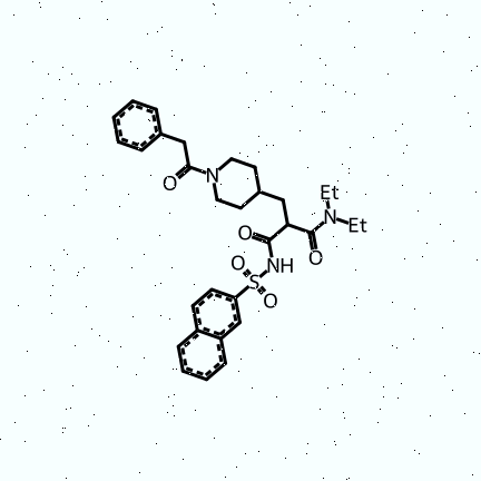 CCN(CC)C(=O)C(CC1CCN(C(=O)Cc2ccccc2)CC1)C(=O)NS(=O)(=O)c1ccc2ccccc2c1